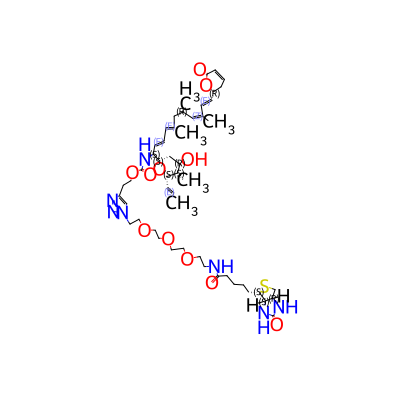 C/C=C/[C@@H]1O[C@H]([C@H](/C=C/C=C(\C)C[C@@H](C)/C=C(C)\C=C\[C@H]2CC=CC(=O)O2)NC(=O)OCCc2cn(CCOCCOCCOCCNC(=O)CCCC[C@@H]3SC[C@@H]4NC(=O)N[C@@H]43)nn2)C[C@@H](O)[C@@H]1C